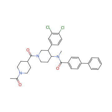 CC(=O)N1CCC(C(=O)N2CCC(N(C)C(=O)c3ccc(-c4ccccc4)cc3)C(c3ccc(Cl)c(Cl)c3)C2)CC1